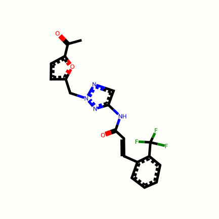 CC(=O)c1ccc(Cn2ncc(NC(=O)C=Cc3ccccc3C(F)(F)F)n2)o1